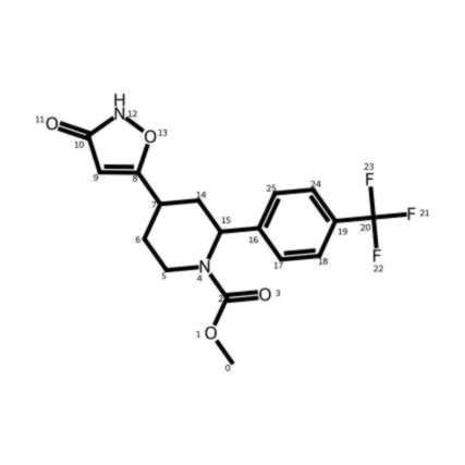 COC(=O)N1CCC(c2cc(=O)[nH]o2)CC1c1ccc(C(F)(F)F)cc1